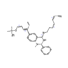 C#C/C=C\C=C/CC/N=C(\NC(c1ccccc1)N(C)C)c1cccc(/C(C=C)=C/C=C\OC(C)(C)C(C)C)c1